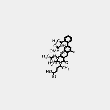 C=C(NC(=O)OC)c1ccccc1-c1ccc(CC2=C(CCC)N(N=C(C)C)C(=C)N(C(C)CCC(O)CC)C2=O)c(F)c1